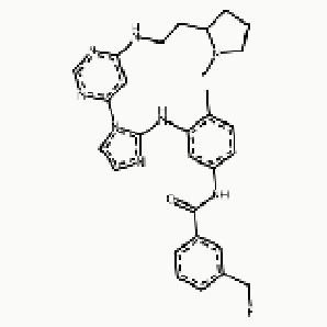 Cc1ccc(NC(=O)c2cccc(CF)c2)cc1Nc1nccn1-c1cc(NCCC2CCCN2C)ncn1